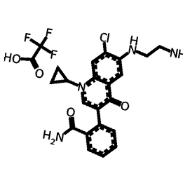 NCCNc1cc2c(=O)c(-c3ccccc3C(N)=O)cn(C3CC3)c2cc1Cl.O=C(O)C(F)(F)F